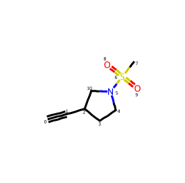 C#CC1CCN(S(C)(=O)=O)C1